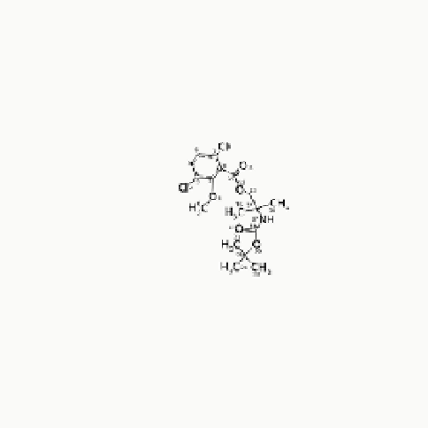 COc1c(Cl)ccc(Cl)c1C(=O)OCC(C)(C)NC(=O)OC(C)(C)C